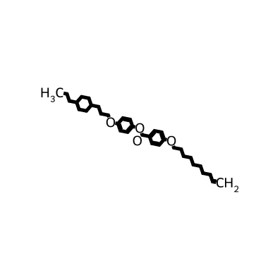 C=CCCCCCCCCOc1ccc(C(=O)Oc2ccc(OCCCC3CCC(CCC)CC3)cc2)cc1